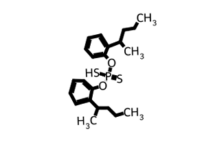 CCCC(C)c1ccccc1OP(=S)(S)Oc1ccccc1C(C)CCC